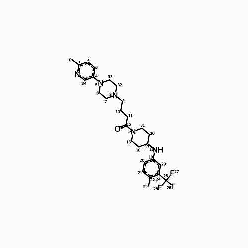 Cc1ccc(N2CCN(CCCC(=O)N3CCC(Nc4ccc(C)c(C(F)(F)F)c4)CC3)CC2)cn1